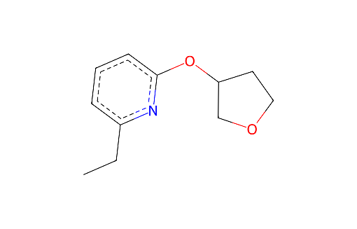 CCc1cccc(OC2CCOC2)n1